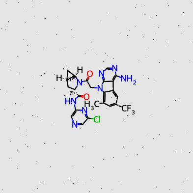 Cc1cc(C(F)(F)F)cc2c3c(N)ncnc3n(CC(=O)N3[C@@H]4C[C@@H]4C[C@H]3C(=O)Nc3cncc(Cl)n3)c12